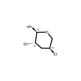 CCC[C@H]1OC[C@@H](CC)C[C@@H]1CC